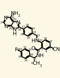 C[C@H](NC(=O)c1cc(C#N)ccc1NCc1ccc(-c2nc3c(N)ncnc3[nH]2)cc1)c1ccc(F)cc1